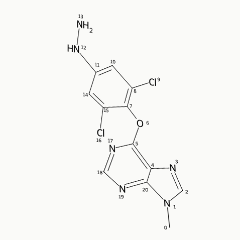 Cn1cnc2c(Oc3c(Cl)cc(NN)cc3Cl)ncnc21